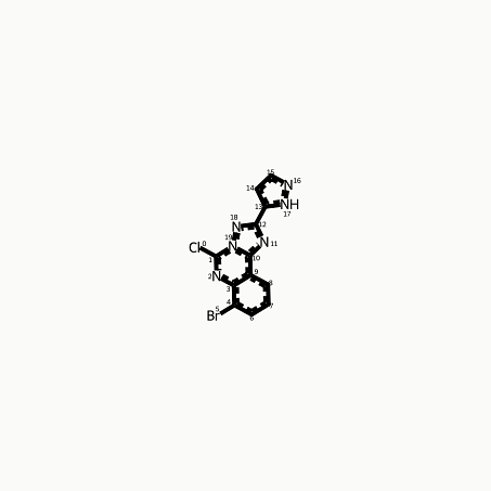 Clc1nc2c(Br)cccc2c2nc(-c3ccn[nH]3)nn12